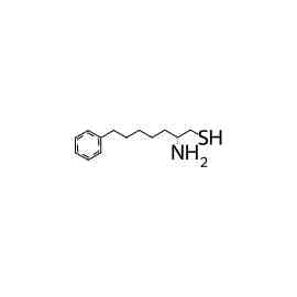 N[C@@H](CS)CCCCCc1ccccc1